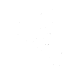 Cc1ccc(C(CC(=O)N(Cc2ccccc2)Cc2ccccc2)c2ccc(C)cc2)cc1